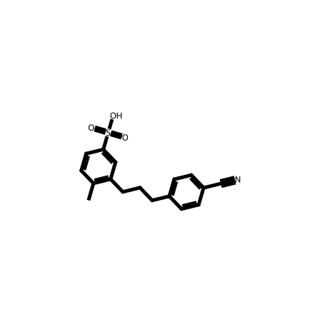 Cc1ccc(S(=O)(=O)O)cc1CCCc1ccc(C#N)cc1